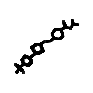 CC(C)OC(=O)N1CCC(COc2ccc(-c3ccc(S(C)(=O)=O)cc3)cc2)CC1